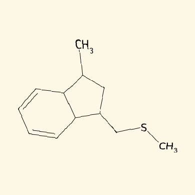 CSCC1CC(C)C2C=CC=CC12